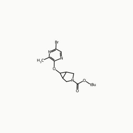 Cc1nc(Br)cnc1OC1C2CN(C(=O)OC(C)(C)C)CC21